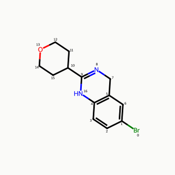 Brc1ccc2c(c1)CN=C(C1CCOCC1)N2